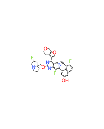 C#Cc1c(F)ccc2cc(O)cc(-c3ncc4c(-c5coc6c5CCOC6)nc(OC[C@@]56CCCN5C[C@H](F)C6)nc4c3F)c12